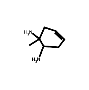 CC1(N)CC=CCC1N